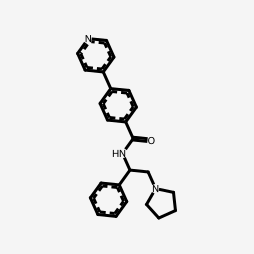 O=C(NC(CN1CCCC1)c1ccccc1)c1ccc(-c2ccncc2)cc1